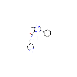 Cc1ncc(-c2ccccc2)nc1C(=O)NCc1ccncc1